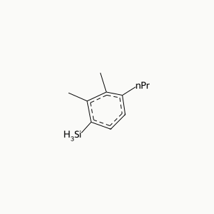 CCCc1ccc([SiH3])c(C)c1C